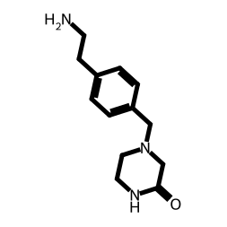 NCCc1ccc(CN2CCNC(=O)C2)cc1